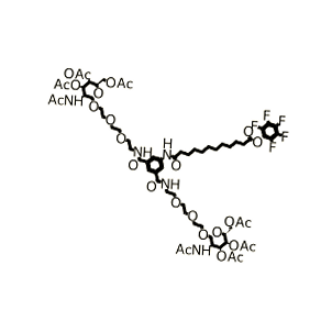 CC(=O)N[C@H]1C(OCCOCCOCCNC(=O)c2cc(NC(=O)CCCCCCCCCCC(=O)Oc3c(F)c(F)c(F)c(F)c3F)cc(C(=O)NCCOCCOCCOC3O[C@H](COC(C)=O)[C@H](OC(C)=O)[C@H](OC(C)=O)[C@H]3NC(C)=O)c2)O[C@H](COC(C)=O)[C@H](OC(C)=O)[C@@H]1OC(C)=O